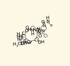 CCn1c(-c2cccnc2[C@H](C)OC)c2c3cc(ccc31)-c1cc(O)cc(c1)C[C@H](NC(=O)C(C1CCCC1)N1CCCN(C(=O)[C@@H]3NC3C3CC3)CCC1=O)C(=O)N1CCC[C@H](N1)C(=O)OCC(C)(C)C2